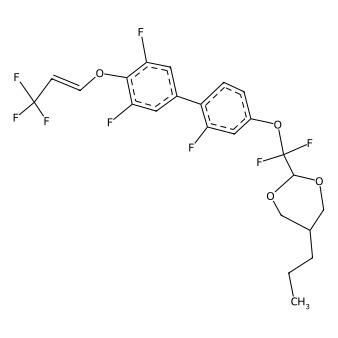 CCCC1COC(C(F)(F)Oc2ccc(-c3cc(F)c(O/C=C/C(F)(F)F)c(F)c3)c(F)c2)OC1